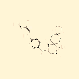 CCN1C(=O)CN([C@@H](C)c2ccc(N/C=C(/F)C=N)nc2)C(=O)C12CCC1(CC2)OCCO1